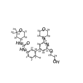 Cc1ccc(NC(=O)NC2CCOC(C)(C)C2)cc1-c1cc(OCCO)nc(N2CCOCC2)c1